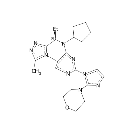 CC[C@@H]1c2nnc(C)n2-c2cnc(-n3ccnc3N3CCOCC3)nc2N1C1CCCC1